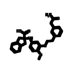 COc1ccc(NC2(C(=O)O)Cc3ccccc3C2)cc1OCCc1cccc(CC(N)=O)c1